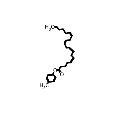 CCCCC/C=C\C/C=C\C/C=C\C/C=C\CCCC(=O)Oc1ccc(C)cc1